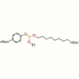 CCCCCCCCCCCCCCCCCCOP(OCC)Oc1ccc(CCCCCCCCC)cc1